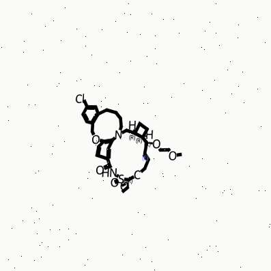 CC[C@@H]1CC/C=C/[C@H](OCCOC)[C@@H]2CC[C@H]2CN2CCCCc3cc(Cl)ccc3COc3ccc(cc32)C(=O)NS1(=O)=O